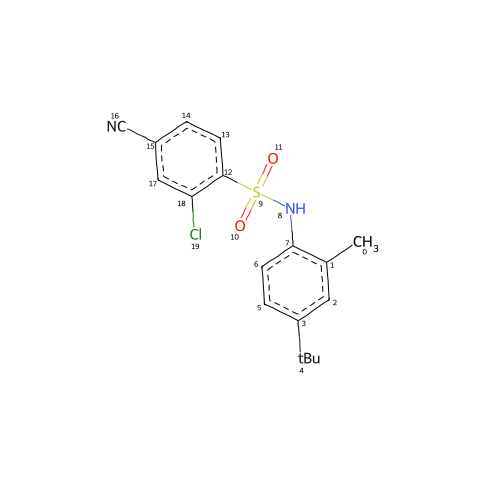 Cc1cc(C(C)(C)C)ccc1NS(=O)(=O)c1ccc(C#N)cc1Cl